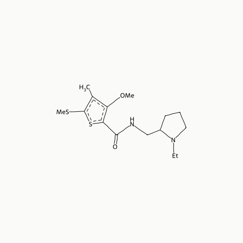 CCN1CCCC1CNC(=O)c1sc(SC)c(C)c1OC